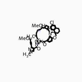 COCC#Cc1nn(C)cc1C(=O)/N=C/S1(=O)=NC(=O)c2ccc3c(c2)N(C[C@@H]2CC[C@H]2[C@@H](OC)/C=C/C[C@H](C)C1)C[C@@]1(CCCc2cc(Cl)ccc21)CO3